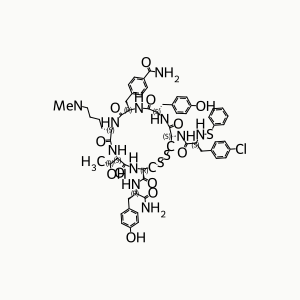 CNCCCC[C@@H]1NC(=O)[C@@H](Cc2ccc(C(N)=O)cc2)NC(=O)[C@H](Cc2ccc(O)cc2)NC(=O)[C@H](NC(=O)[C@H](Cc2ccc(Cl)cc2)NSc2ccccc2)CSSC[C@@H](C(=O)N[C@H](Cc2ccc(O)cc2)C(N)=O)NC(=O)[C@H]([C@@H](C)O)NC1=O